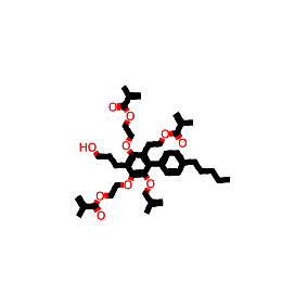 C=C(C)COc1c(OCCOC(=O)C(=C)C)c(CCCO)c(OCCOC(=O)C(=C)C)c(CCOC(=O)C(=C)C)c1-c1ccc(CCCCC)cc1